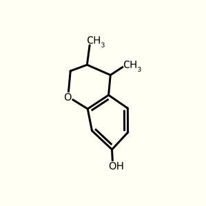 CC1COc2cc(O)ccc2C1C